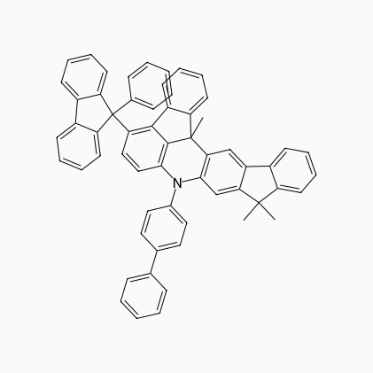 CC1(C)c2ccccc2-c2cc3c(cc21)N(c1ccc(-c2ccccc2)cc1)c1ccc(C2(c4ccccc4)c4ccccc4-c4ccccc42)c2c1C3(C)c1ccccc1-2